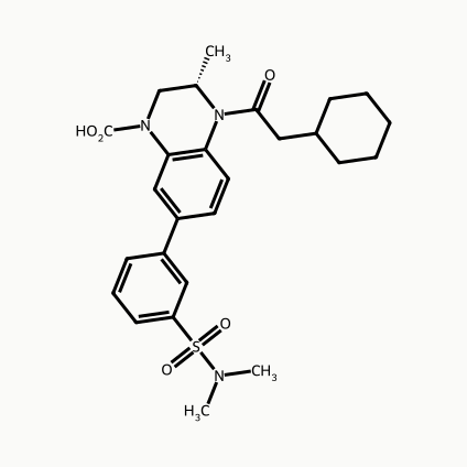 C[C@H]1CN(C(=O)O)c2cc(-c3cccc(S(=O)(=O)N(C)C)c3)ccc2N1C(=O)CC1CCCCC1